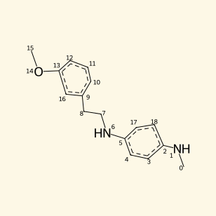 CNc1ccc(NCCc2cccc(OC)c2)cc1